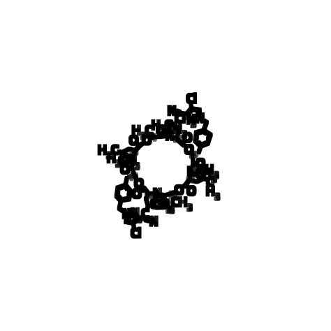 CC(C)C[C@H]1C(=O)O[C@H](Cc2ccc(Cn3cc(Cl)c(C#N)n3)cc2)C(=O)N(C)[C@@H](CC(C)C)C(=O)O[C@H](C)C(=O)N(C)[C@@H](CC(C)C)C(=O)O[C@H](Cc2ccc(Cn3cc(Cl)c(C#N)n3)cc2)C(=O)N(C)[C@@H](CC(C)C)C(=O)O[C@H](C)C(=O)N1C